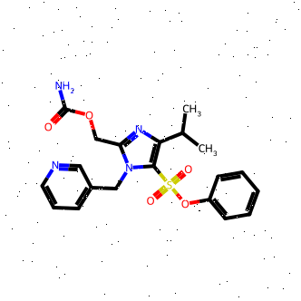 CC(C)c1nc(COC(N)=O)n(Cc2cccnc2)c1S(=O)(=O)Oc1ccccc1